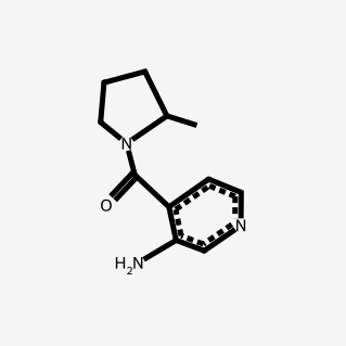 CC1CCCN1C(=O)c1ccncc1N